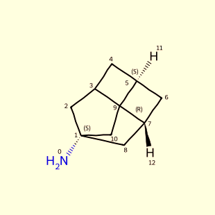 N[C@@]12CC3C[C@H]4C[C@H](C1)C34C2